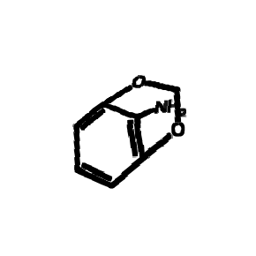 Nc1c2cccc1OCO2